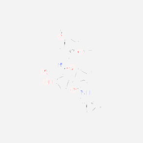 COc1ccc(OC)c(CCN(CCC(=O)O)C(=O)c2ccccc2-c2ccccc2C(=O)NCc2cccs2)c1